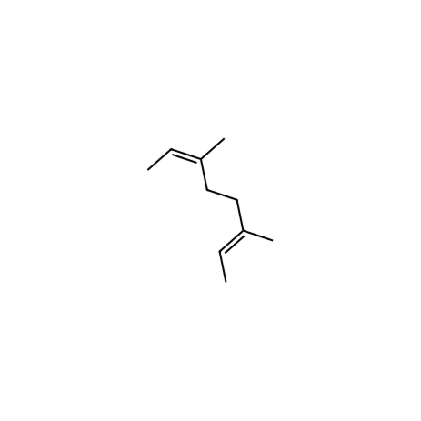 CC=C(C)CCC(C)=CC